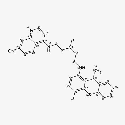 Cc1ccc(NCCN(C)CCNc2ccnc3cc(Cl)ccc23)c2c1Sc1ccccc1C2N